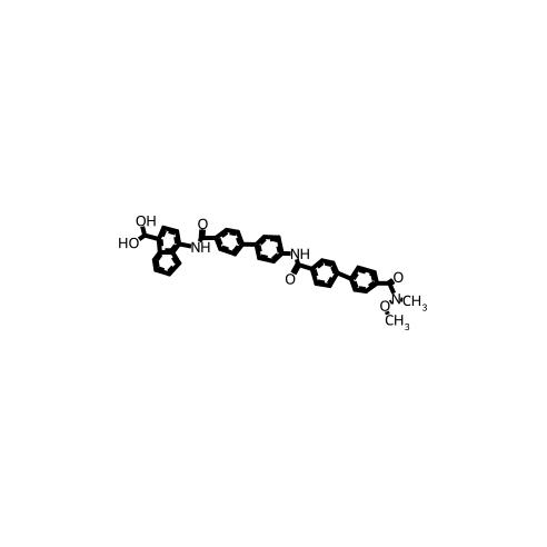 CON(C)C(=O)c1ccc(-c2ccc(C(=O)Nc3ccc(-c4ccc(C(=O)Nc5ccc(C(O)O)c6ccccc56)cc4)cc3)cc2)cc1